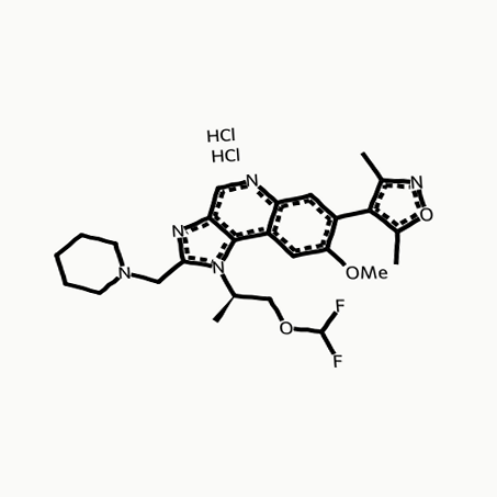 COc1cc2c(cc1-c1c(C)noc1C)ncc1nc(CN3CCCCC3)n([C@H](C)COC(F)F)c12.Cl.Cl